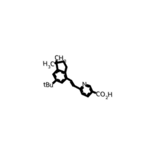 CC(C)(C)c1cc(C=Cc2ccc(C(=O)O)cn2)c2c(c1)C(C)(C)CC2